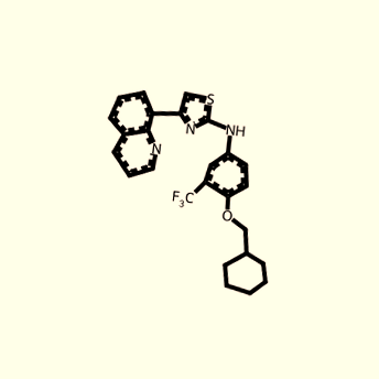 FC(F)(F)c1cc(Nc2nc(-c3cccc4cccnc34)cs2)ccc1OCC1CCCCC1